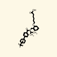 CC(C)N(Cc1ccccc1OCCCCCC(=O)O)C(=O)c1ccc(C23CCC(C(F)(F)F)(CC2)CC3)cc1